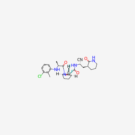 Cc1c(Cl)cccc1N[C@@H](C)C(=O)N1[C@@H]2CC[C@H]([C@H]1C(=O)N[C@H](C#N)C[C@@H]1CCCNC1=O)C(F)(F)C2